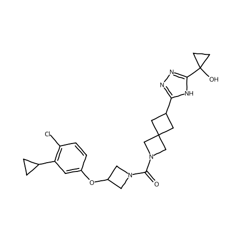 O=C(N1CC(Oc2ccc(Cl)c(C3CC3)c2)C1)N1CC2(CC(c3nnc(C4(O)CC4)[nH]3)C2)C1